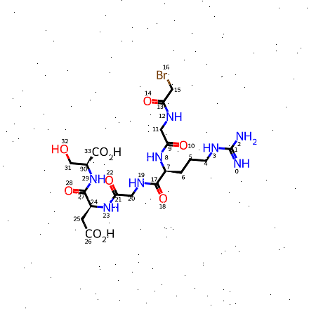 N=C(N)NCCC[C@H](NC(=O)CNC(=O)CBr)C(=O)NCC(=O)N[C@@H](CC(=O)O)C(=O)N[C@@H](CO)C(=O)O